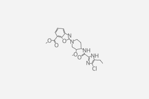 CCc1[nH]c(C(=O)NC2CCN(c3nc4cccc(C(=O)OC)c4o3)CC2OC)nc1Cl